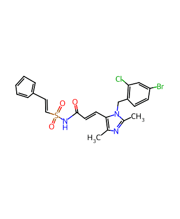 Cc1nc(C)n(Cc2ccc(Br)cc2Cl)c1C=CC(=O)NS(=O)(=O)C=Cc1ccccc1